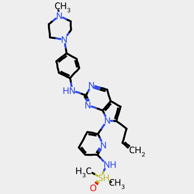 C=CCc1cc2cnc(Nc3ccc(N4CCN(C)CC4)cc3)nc2n1-c1cccc(N[SH](C)(C)=O)n1